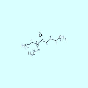 CCCCC([O])N(CC)CC